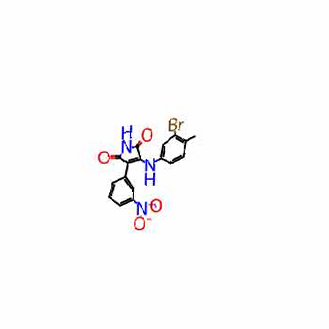 Cc1ccc(NC2=C(c3cccc([N+](=O)[O-])c3)C(=O)NC2=O)cc1Br